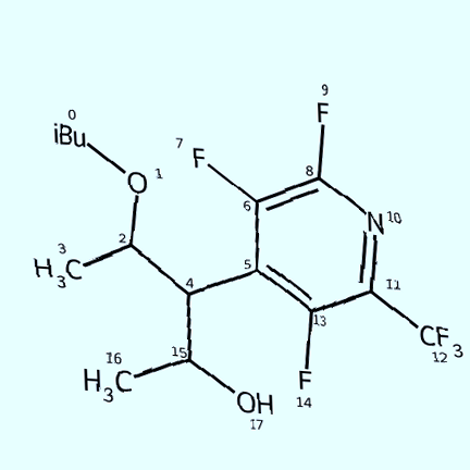 CCC(C)OC(C)C(c1c(F)c(F)nc(C(F)(F)F)c1F)C(C)O